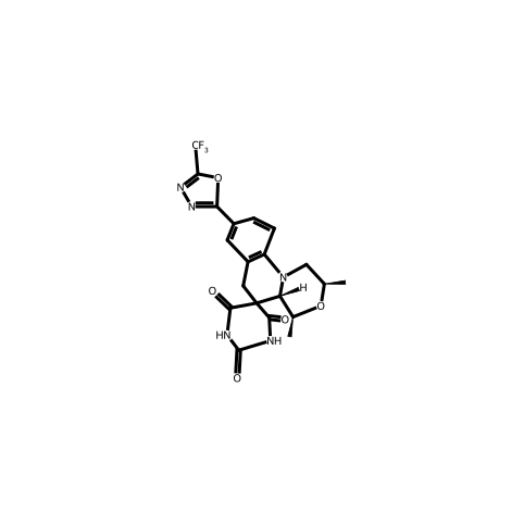 C[C@@H]1CN2c3ccc(-c4nnc(C(F)(F)F)o4)cc3CC3(C(=O)NC(=O)NC3=O)[C@H]2[C@H](C)O1